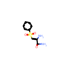 NC(=O)C(N)=CS(=O)(=O)c1ccccc1